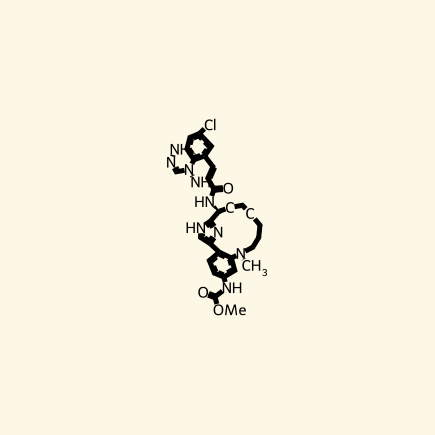 COC(=O)Nc1ccc2c(c1)N(C)CCCCCC[C@H](NC(=O)/C=C/c1cc(Cl)ccc1N(N)/C=N\N)c1nc-2c[nH]1